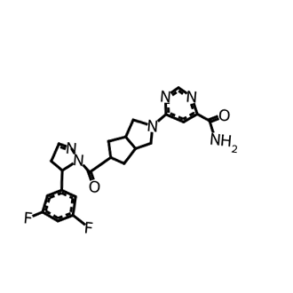 NC(=O)c1cc(N2CC3CC(C(=O)N4N=CCC4c4cc(F)cc(F)c4)CC3C2)ncn1